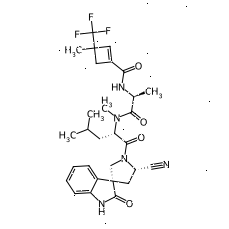 CC(C)C[C@@H](C(=O)N1C[C@]2(C[C@H]1C#N)C(=O)Nc1ccccc12)N(C)C(=O)[C@H](C)NC(=O)C1=CC(C)(C(F)(F)F)C1